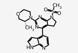 C[C@@H]1COCCN1c1nc(-c2ccnc3[nH]ccc23)c2c(n1)N(S(C)(=O)=O)CC2